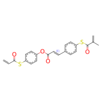 C=CC(=O)Sc1ccc(OC(=O)/C=C/c2ccc(SC(=O)C(=C)C)cc2)cc1